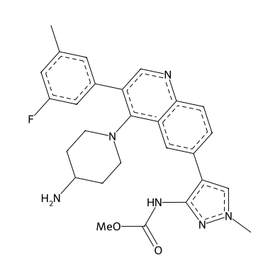 COC(=O)Nc1nn(C)cc1-c1ccc2ncc(-c3cc(C)cc(F)c3)c(N3CCC(N)CC3)c2c1